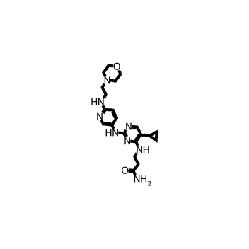 NC(=O)CCNc1nc(Nc2ccc(NCCN3CCOCC3)nc2)ncc1C1CC1